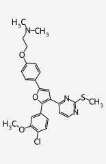 COc1cc(-c2oc(-c3ccc(OCCN(C)C)cc3)cc2-c2ccnc(SC)n2)ccc1Cl